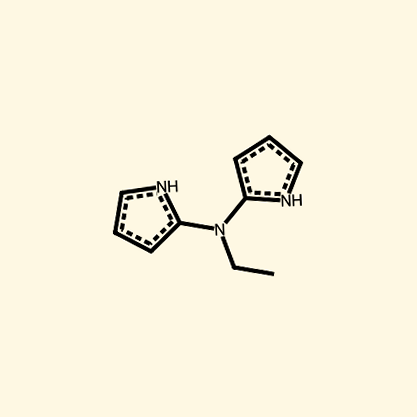 CCN(c1ccc[nH]1)c1ccc[nH]1